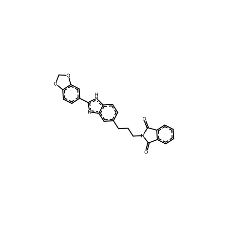 O=C1c2ccccc2C(=O)N1CCCc1ccc2[nH]c(-c3ccc4c(c3)OCO4)nc2c1